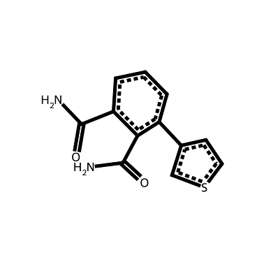 NC(=O)c1cccc(-c2ccsc2)c1C(N)=O